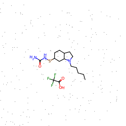 CCCCCN1CCC2CCC(SNC(N)=O)CC21.O=C(O)C(F)(F)F